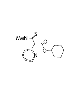 CNC(=S)C(C(=O)OC1CCCCC1)c1ccccn1